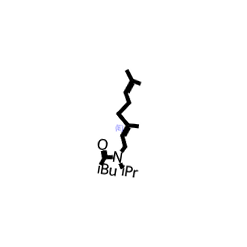 CCC(C)C(=O)N(C/C=C(\C)CCC=C(C)C)C(C)C